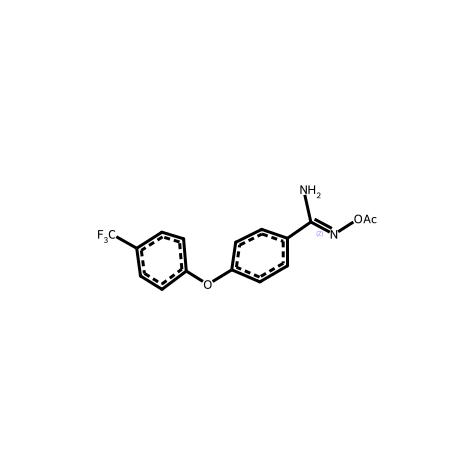 CC(=O)O/N=C(\N)c1ccc(Oc2ccc(C(F)(F)F)cc2)cc1